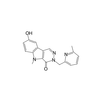 Cc1cccc(Cn2ncc3c4cc(O)ccc4n(C)c3c2=O)n1